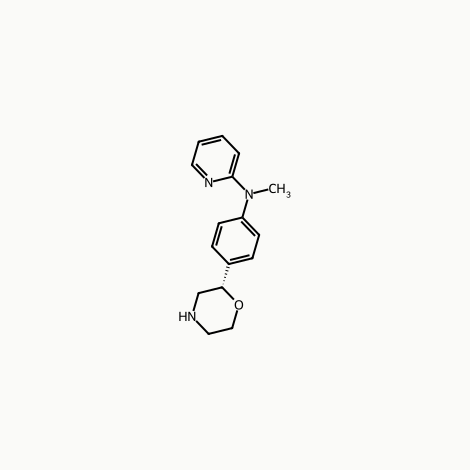 CN(c1ccc([C@H]2CNCCO2)cc1)c1ccccn1